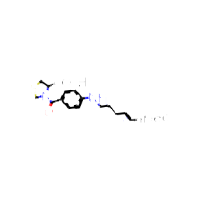 CCCCCCCCCC/C=C/CCCNc1ccc(C(=O)N2CSCC2C(=O)O)cc1